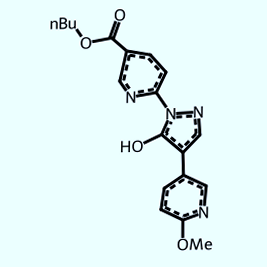 CCCCOC(=O)c1ccc(-n2ncc(-c3ccc(OC)nc3)c2O)nc1